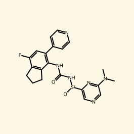 CN(C)c1cncc([S+]([O-])NC(=O)Nc2c(-c3ccncc3)cc(F)c3c2CCC3)n1